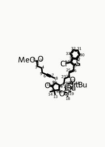 COC(=O)CCCC#CC[C@H]1C(=O)C(C)(C)[C@@H](O[Si](C)(C)C(C)(C)C)[C@@H]1CCC(C=Cc1sc2ccccc2c1Cl)O[Si](C)(C)C(C)(C)C